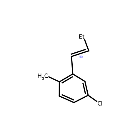 CC/C=C/c1cc(Cl)ccc1C